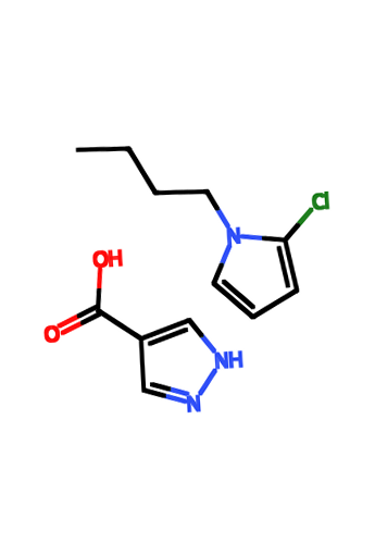 CCCCn1cccc1Cl.O=C(O)c1cn[nH]c1